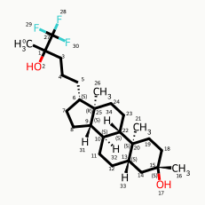 CC(O)(CCC[C@H]1CC[C@H]2[C@@H]3CC[C@H]4C[C@@](C)(O)CC[C@]4(C)[C@H]3CC[C@]12C)C(F)(F)F